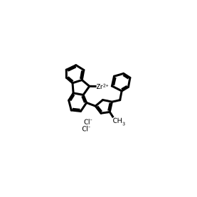 CC1=C(Cc2ccccc2)CC(c2cccc3c2[CH]([Zr+2])c2ccccc2-3)=C1.[Cl-].[Cl-]